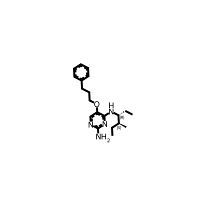 CC[C@H](C)[C@@H](CC)Nc1nc(N)ncc1OCCCc1ccccc1